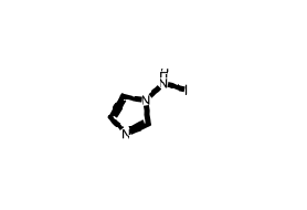 INn1ccnc1